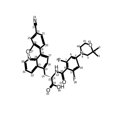 CC1(C)CN(c2cc(F)c(C(=O)N[C@@H](Cc3ccc(-c4ccc(C#N)cc4Cl)c4ncccc34)C(=O)O)c(F)c2)CCO1